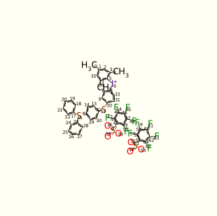 Cc1cc(C)c([I+]c2ccc(Sc3ccc([S+](c4ccccc4)c4ccccc4)cc3)cc2)c(C)c1.O=S(=O)([O-])c1c(F)c(F)c(F)c(F)c1F.O=S(=O)([O-])c1c(F)c(F)c(F)c(F)c1F